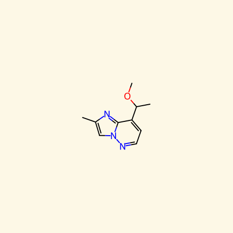 COC(C)c1ccnn2cc(C)nc12